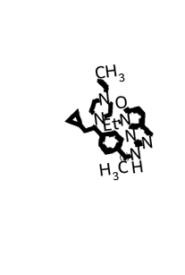 CC=CN1CCN(C(CC2CC2)c2ccc([C@H](C)Nc3ncc4ccc(=O)n(CC)c4n3)cc2)CC1